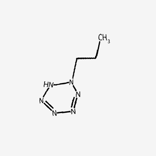 CCCN1N=NN=NN1